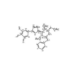 CC(=O)OC[C@H]1O[C@@H](Sc2ccccc2)[C@H](OC(C)=O)[C@@H](n2cc(-c3cc(F)c(F)c(F)c3)nn2)[C@H]1OC(C)=O